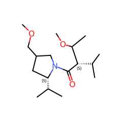 COCC1C[C@@H](C(C)C)N(C(=O)[C@@H](C(C)C)C(C)OC)C1